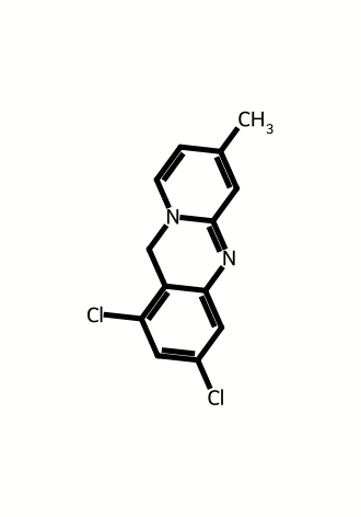 CC1=CC2=Nc3cc(Cl)cc(Cl)c3CN2C=C1